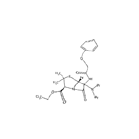 CC(C)N(C(C)C)C1(NC(=O)COc2ccccc2)C(=O)N2[C@@H](C(=O)OCC(Cl)(Cl)Cl)C(C)(C)S[C@@H]21